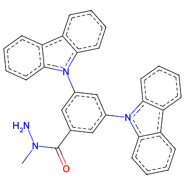 CN(N)C(=O)c1cc(-n2c3ccccc3c3ccccc32)cc(-n2c3ccccc3c3ccccc32)c1